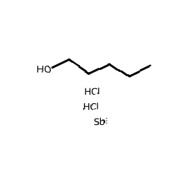 CCCCCO.Cl.Cl.[Sb]